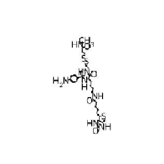 CNC(=O)CCSSCCNC(=O)C(CCCCNC(=O)CCCCC1SCC2NC(=O)NC21)NC(=O)c1ccc(N)cc1